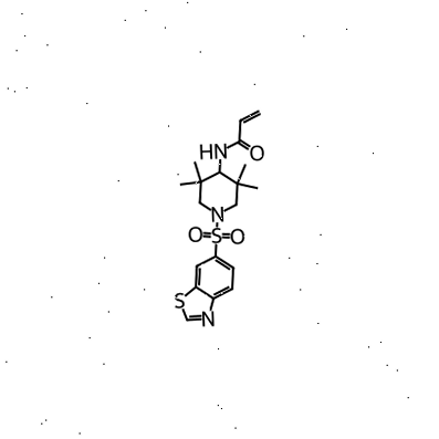 C=CC(=O)NC1C(C)(C)CN(S(=O)(=O)c2ccc3ncsc3c2)CC1(C)C